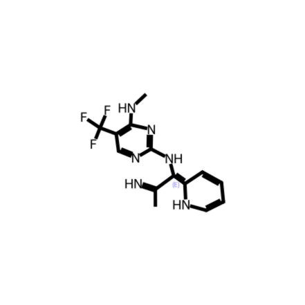 CNc1nc(N/C(C(C)=N)=C2\C=CC=CN2)ncc1C(F)(F)F